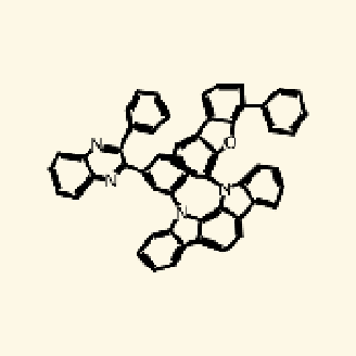 c1ccc(-c2nc3ccccc3nc2-c2cccc(-n3c4ccccc4c4ccc5c6ccccc6n(-c6cccc7c6oc6c(-c8ccccc8)cccc67)c5c43)c2)cc1